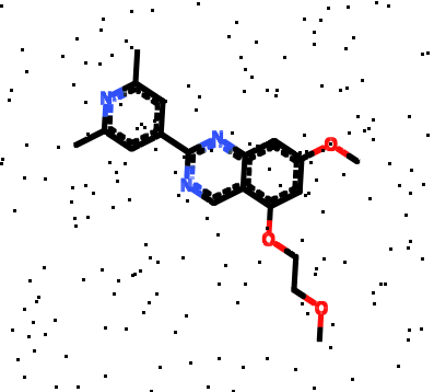 COCCOc1cc(OC)cc2nc(-c3cc(C)nc(C)c3)ncc12